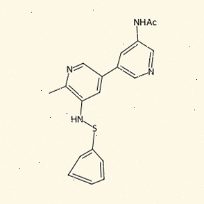 CC(=O)Nc1cncc(-c2cnc(C)c(NSc3ccccc3)c2)c1